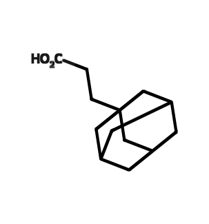 O=C(O)CCC12CC3CC(CC(C3)C1)C2